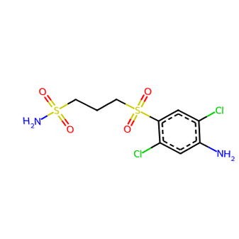 Nc1cc(Cl)c(S(=O)(=O)CCCS(N)(=O)=O)cc1Cl